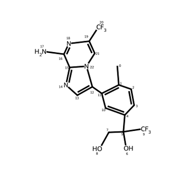 Cc1ccc(C(O)(CO)C(F)(F)F)cc1-c1cnc2c(N)nc(C(F)(F)F)cn12